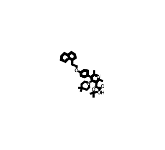 Cc1nc(C)c([C@H](OC(C)(C)C)C(=O)O)c(N2CCC(C)(C)CC2)c1-c1ccc(OCCc2cccc3ccccc23)cc1